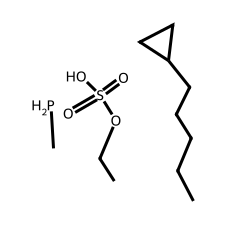 CCCCCC1CC1.CCOS(=O)(=O)O.CP